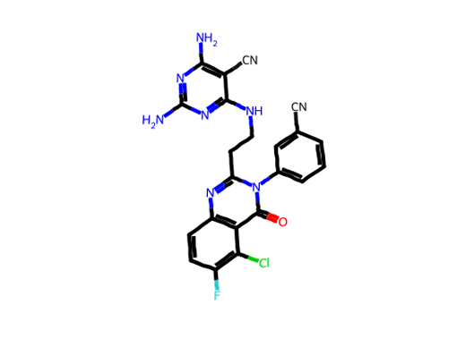 N#Cc1cccc(-n2c(CCNc3nc(N)nc(N)c3C#N)nc3ccc(F)c(Cl)c3c2=O)c1